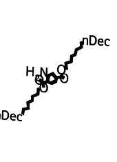 CCCCCCCCCCCCCCCCCCOC(=O)c1ccc(C(=O)OCCCCCCCCCCCCCCCCCC)c(N)c1